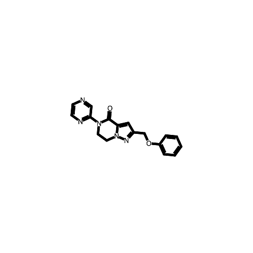 O=C1c2cc(COc3ccccc3)nn2CCN1c1cnccn1